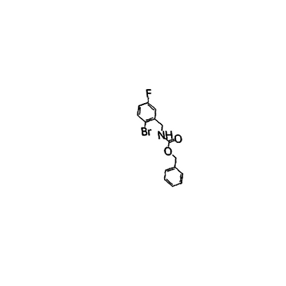 O=C(NCc1cc(F)ccc1Br)OCc1ccccc1